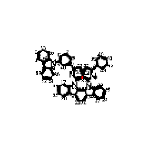 C1=Cc2c(n(-c3cccc(-c4cccc(-n5c6ccccc6c6ccc7c8ccccc8n(-c8cccc(-c9ccccc9)n8)c7c65)n4)c3)c3ccccc23)CC1